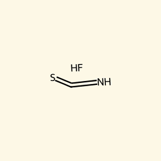 F.N=C=S